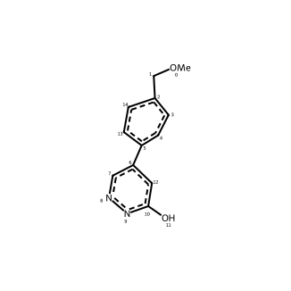 COCc1ccc(-c2cnnc(O)c2)cc1